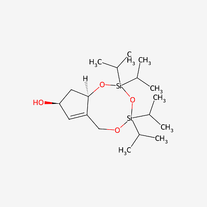 CC(C)[Si]1(C(C)C)OCC2=C[C@@H](O)C[C@H]2O[Si](C(C)C)(C(C)C)O1